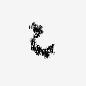 C[C@H](Oc1cc(-c2nn(C)c3c(-c4cnn(C5CCN(C(=O)CCC6CCN(c7cccc8c7C(=O)N(C7CCC(=O)NC7=O)C8=O)CC6)CC5)c4)cnc(N)c23)ccc1NS(=O)(=O)C(F)F)c1ccc(F)cc1